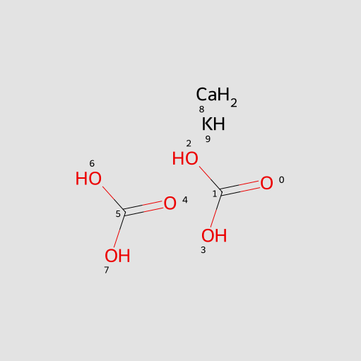 O=C(O)O.O=C(O)O.[CaH2].[KH]